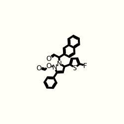 O=CON1C(c2ccccc2)=CC(c2ccc(F)s2)N1C(C=O)c1ccc2ccccc2c1